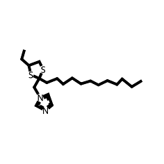 CCCCCCCCCCCCC1(Cn2ccnc2)SCC(CC)S1